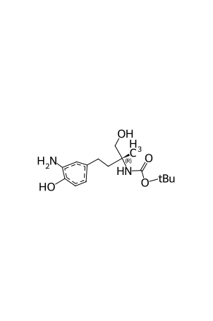 CC(C)(C)OC(=O)N[C@@](C)(CO)CCc1ccc(O)c(N)c1